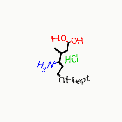 CCCCCCCCCC(N)C(C)CC(O)O.Cl